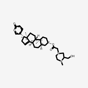 CN1CCN(CC(=O)O[C@H]2CC[C@@]3(C)[C@H](CC[C@H]4C5=CC[C@H](c6ccc(=O)oc6)[C@@]5(C)CC[C@@H]43)C2)CC1CO